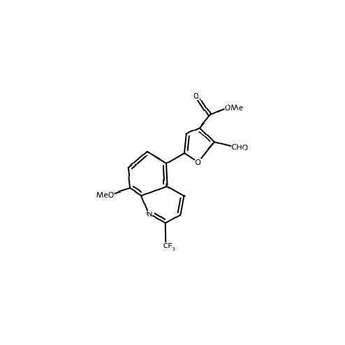 COC(=O)c1cc(-c2ccc(OC)c3nc(C(F)(F)F)ccc23)oc1C=O